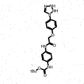 CC(C)(C)OC(=O)Nc1ccc(NC(=O)COc2ccc(N3C=NNN3)cc2)cc1